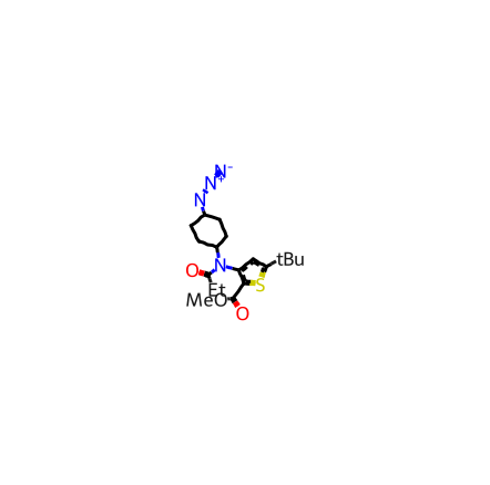 CCC(=O)N(c1cc(C(C)(C)C)sc1C(=O)OC)C1CCC(N=[N+]=[N-])CC1